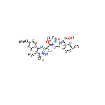 COc1ccc(-c2nc3c(C(=O)N4CCN([C@H](CO)c5cccc(C#N)c5)C[C@H]4C)cnn3c(C(F)(F)F)c2C)cc1